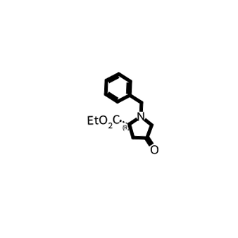 CCOC(=O)[C@H]1CC(=O)CN1Cc1ccccc1